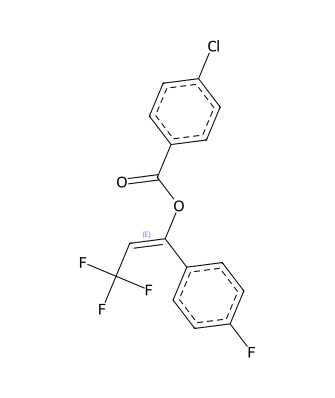 O=C(O/C(=C/C(F)(F)F)c1ccc(F)cc1)c1ccc(Cl)cc1